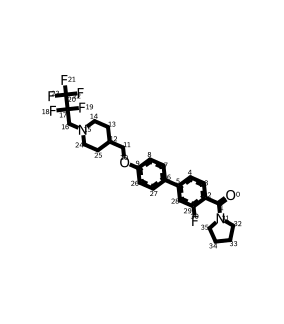 O=C(c1ccc(-c2ccc(OCC3CCN(CC(F)(F)C(F)(F)F)CC3)cc2)cc1F)N1CCCC1